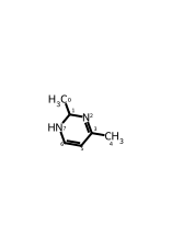 C[C]1N=C(C)C=CN1